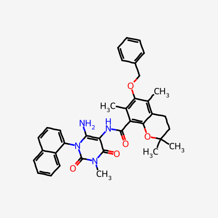 Cc1c2c(c(C(=O)Nc3c(N)n(-c4cccc5ccccc45)c(=O)n(C)c3=O)c(C)c1OCc1ccccc1)OC(C)(C)CC2